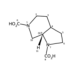 O=C(O)N1CCC2CCN(C(=O)O)[C@@H]2C1